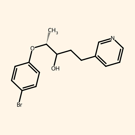 C[C@@H](Oc1ccc(Br)cc1)C(O)CCc1cccnc1